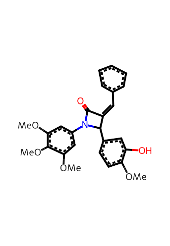 COc1ccc(C2C(=Cc3ccccc3)C(=O)N2c2cc(OC)c(OC)c(OC)c2)cc1O